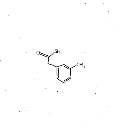 Cc1cccc(CC(=O)S)c1